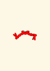 CCCCCCCCC1(CCCCCCCC)c2ccccc2-c2ccc(-c3ccc4c(c3)C(C)(C)c3cc(-c5ccc(-c6cc7c(c8oc9ccccc9c68)-c6ccc8c(c6C7(C)C)C(C)(C)c6cc(-c7ccc(-c9ccc%10c(c9)C(C)(C)c9cc(-c%11ccc%12c(c%11)C(CCCCCCCC)(CCCCCCCC)c%11ccccc%11-%12)ccc9-%10)cc7)c7c(oc9ccccc97)c6-8)cc5)ccc3-4)cc21